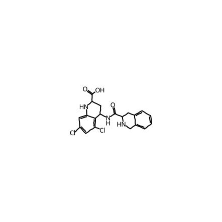 O=C(O)C1CC(NC(=O)C2Cc3ccccc3CN2)c2c(Cl)cc(Cl)cc2N1